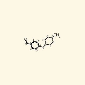 CN1CCN(Cc2ccc([C]=O)cc2)CC1